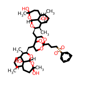 C[C@H]1[C@@H](CC2COC3(CCCS(=O)(=O)c4ccccc4)OCC(C[C@H]4O[C@@H]5OC(C)(O)CC[C@H]6[C@H](C)CC[C@@H]([C@H]4C)[C@@]56O)C2O3)O[C@@H]2OC(C)(O)CC[C@H]3[C@H](C)CC[C@@H]1[C@@]23O